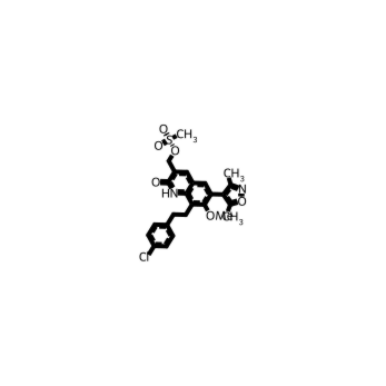 COc1c(-c2c(C)noc2C)cc2cc(COS(C)(=O)=O)c(=O)[nH]c2c1CCc1ccc(Cl)cc1